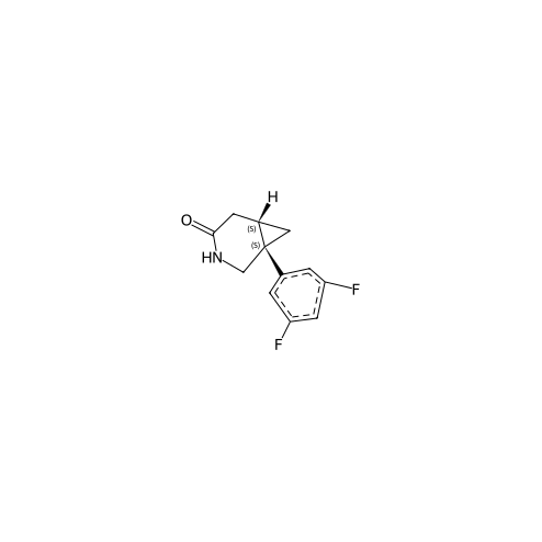 O=C1C[C@@H]2C[C@]2(c2cc(F)cc(F)c2)CN1